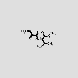 CCC(=O)C(=O)N[C@H](C(=O)OC)C(C)C